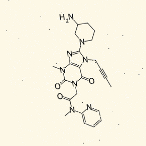 CC#CCn1c(N2CCCC(N)C2)nc2c1c(=O)n(CC(=O)N(C)c1ccccn1)c(=O)n2C